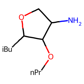 CCCOC1C(N)COC1C(C)CC